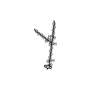 C#CCOCCOCCOCCOCCNC(=O)CCOCC(COCCC(=O)NCCOCCOCCOCCOCC#C)NC(=O)CCOCCOCCOCCOCCNC(=O)CCC(=O)N1Cc2ccccc2C2=C(C2)c2ccccc21